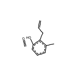 C=CCc1c(C)cccc1O.C=O